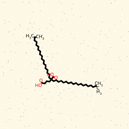 CC(C)CCCCCCCCCCCCCCCCCC(CCCCCCCCCCCCCCCCCC(C)C)(CCCC(=O)O)C(=O)O